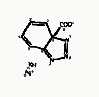 O=C([O-])C12C=CC=CC1=NN=N2.[Ag+].[KH]